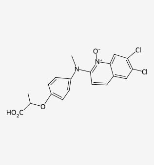 CC(Oc1ccc(N(C)c2ccc3cc(Cl)c(Cl)cc3[n+]2[O-])cc1)C(=O)O